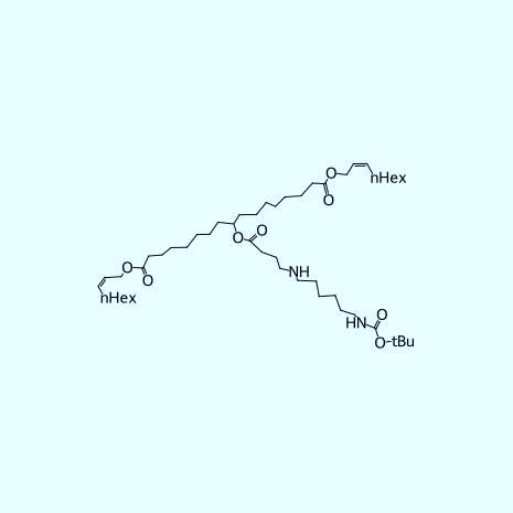 CCCCCC/C=C\COC(=O)CCCCCCCC(CCCCCCCC(=O)OC/C=C\CCCCCC)OC(=O)CCCNCCCCCCNC(=O)OC(C)(C)C